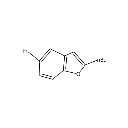 CCCCc1cc2cc(C(C)C)ccc2o1